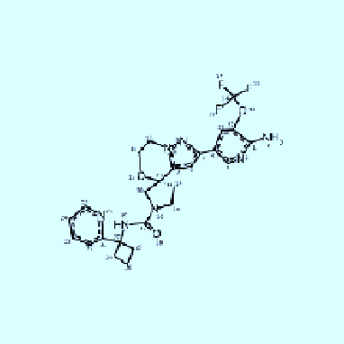 Nc1ncc(-c2cc3n(n2)CCO[C@@]32CCN(C(=O)NC3(c4ccccn4)CCC3)C2)cc1OC(F)(F)F